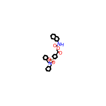 O=C(Nc1ccc2ccccc2c1)OCC(=O)c1ccc(S(=O)(=O)N(Cc2ccccc2)Cc2ccccc2)cc1